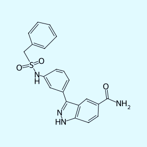 NC(=O)c1ccc2[nH]nc(-c3cccc(NS(=O)(=O)Cc4ccccc4)c3)c2c1